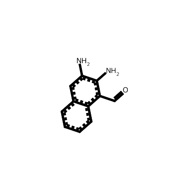 Nc1cc2ccccc2c(C=O)c1N